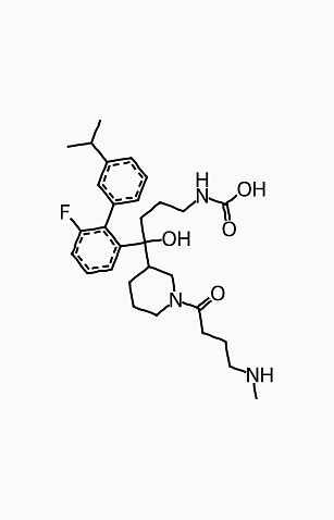 CNCCCC(=O)N1CCCC(C(O)(CCCNC(=O)O)c2cccc(F)c2-c2cccc(C(C)C)c2)C1